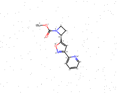 CC(C)(C)OC(=O)N1CC[C@H]1c1cc(-c2ccccn2)no1